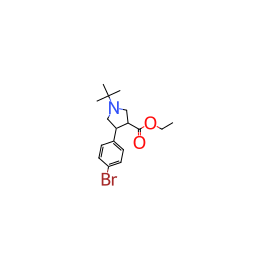 CCOC(=O)C1CN(C(C)(C)C)CC1c1ccc(Br)cc1